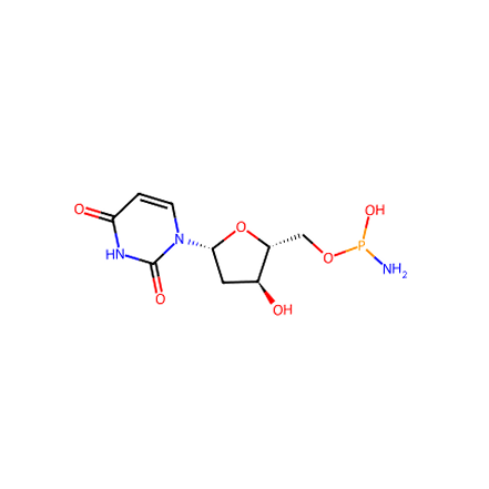 NP(O)OC[C@H]1O[C@@H](n2ccc(=O)[nH]c2=O)C[C@@H]1O